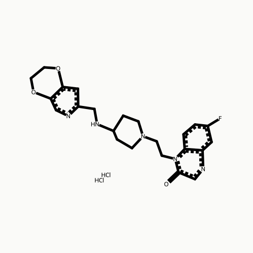 Cl.Cl.O=c1cnc2cc(F)ccc2n1CCN1CCC(NCc2cc3c(cn2)OCCO3)CC1